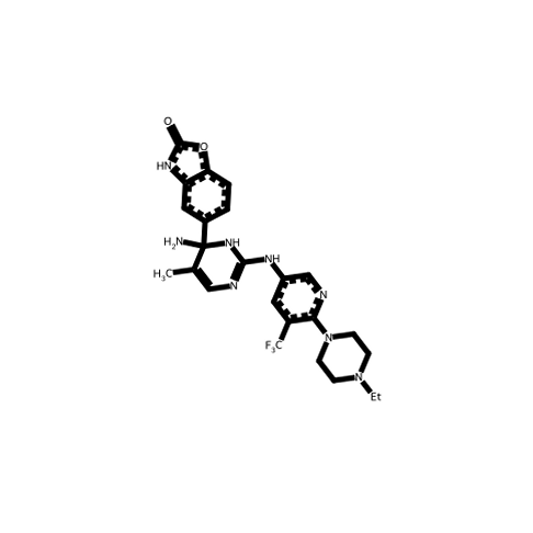 CCN1CCN(c2ncc(NC3=NC=C(C)C(N)(c4ccc5oc(=O)[nH]c5c4)N3)cc2C(F)(F)F)CC1